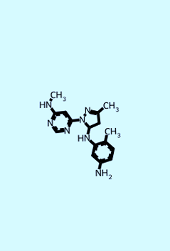 CNc1cc(N2N=C(C)CC2Nc2cc(N)ccc2C)ncn1